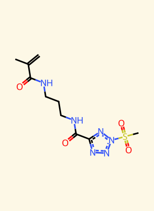 C=C(C)C(=O)NCCCNC(=O)c1nnn(S(C)(=O)=O)n1